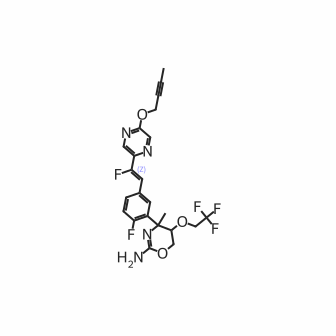 CC#CCOc1cnc(/C(F)=C/c2ccc(F)c(C3(C)N=C(N)OCC3OCC(F)(F)F)c2)cn1